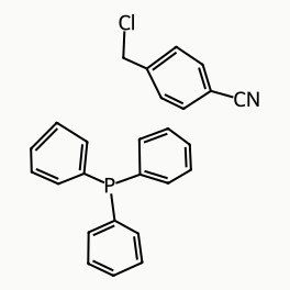 N#Cc1ccc(CCl)cc1.c1ccc(P(c2ccccc2)c2ccccc2)cc1